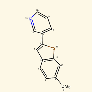 COc1ccc2cc(-c3cccnc3)sc2c1